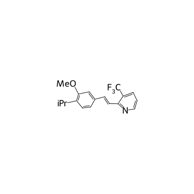 COc1cc(/C=C/c2ncccc2C(F)(F)F)ccc1C(C)C